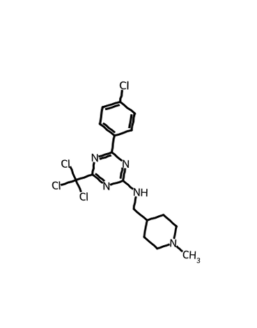 CN1CCC(CNc2nc(-c3ccc(Cl)cc3)nc(C(Cl)(Cl)Cl)n2)CC1